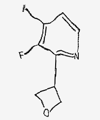 Fc1c(I)ccnc1C1COC1